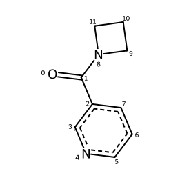 O=C(c1[c]nccc1)N1CCC1